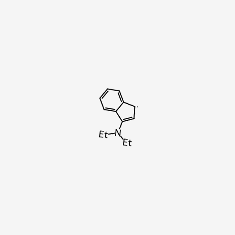 CCN(CC)C1=C[CH]c2ccccc21